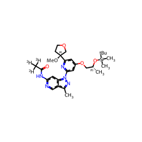 [2H]C([2H])([2H])C(=O)Nc1cc2c(cn1)c(C)nn2-c1cc(OC[C@@H](C)O[Si](C)(C)C(C)(C)C)cc([C@]2(OC)CCOC2)n1